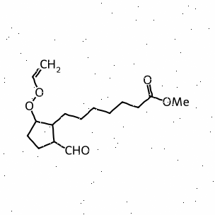 C=COOC1CCC(C=O)C1CCCCCCC(=O)OC